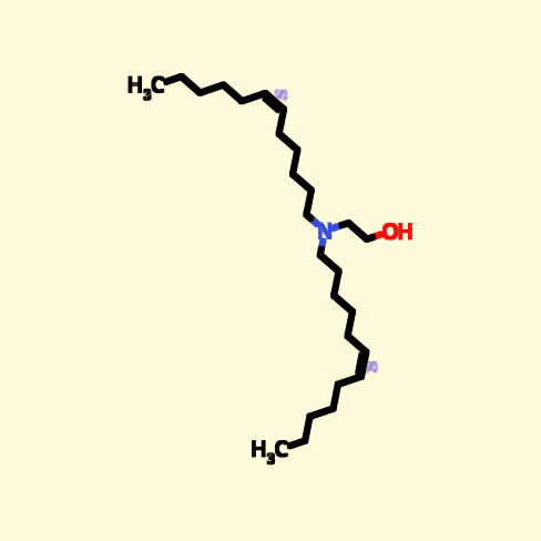 CCCCC/C=C\CCCCCN(CCO)CCCCC/C=C\CCCCC